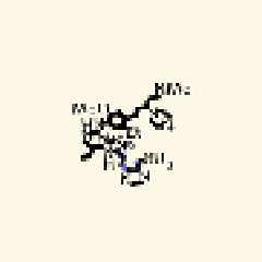 C=Cc1cnc(Nc2cc(CC)c(CCC(CCNC)N3CCN(C)CC3)cc2OC)nc1N\C(=C/C=c1/nccn/c1=C\N)S(C)(=O)=O